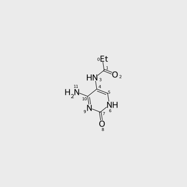 CCC(=O)Nc1c[nH]c(=O)nc1N